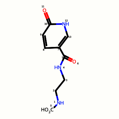 O=C(O)NCCNC(=O)c1ccc(=O)[nH]c1